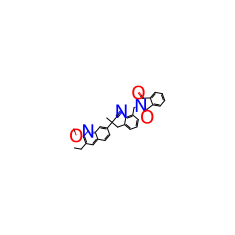 CCc1cc2ccc(C(C)(C#N)Cc3cccc(CN4C(=O)c5ccccc5C4=O)c3)cc2nc1OC